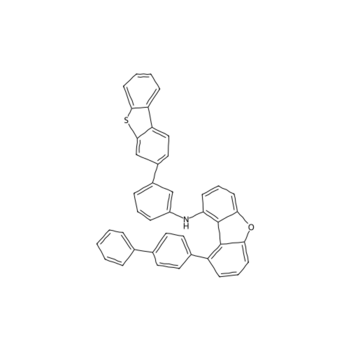 c1ccc(-c2ccc(-c3cccc4oc5cccc(Nc6cccc(-c7ccc8c(c7)sc7ccccc78)c6)c5c34)cc2)cc1